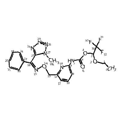 CCOC(OC(=O)Nc1cccc(CO/N=C(/c2ccccc2)c2nnnn2C)n1)C(F)(F)F